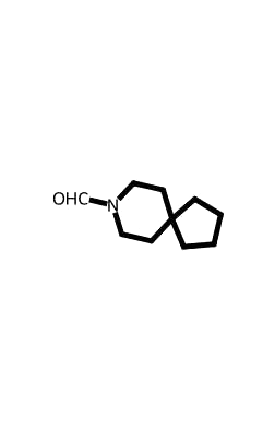 O=CN1CCC2(CCCC2)CC1